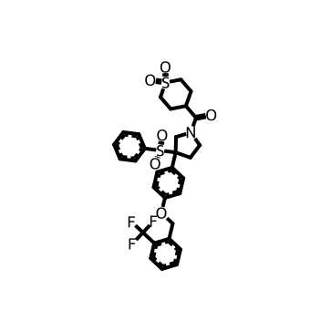 O=C(C1CCS(=O)(=O)CC1)N1CCC(c2ccc(OCc3ccccc3C(F)(F)F)cc2)(S(=O)(=O)c2ccccc2)C1